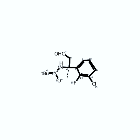 CC(C)(C)[S+]([O-])N[C@@](C)(CC=O)c1cccc(Cl)c1F